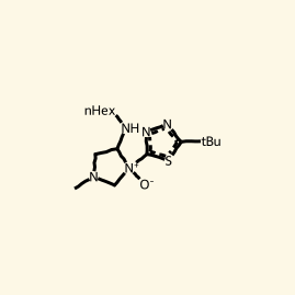 CCCCCCNC1CN(C)C[N+]1([O-])c1nnc(C(C)(C)C)s1